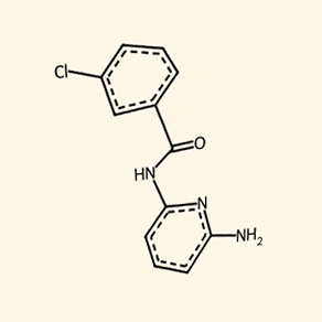 Nc1cccc(NC(=O)c2cccc(Cl)c2)n1